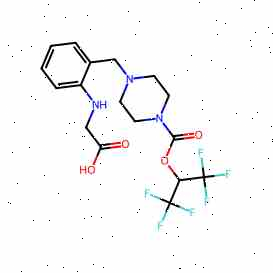 O=C(O)CNc1ccccc1CN1CCN(C(=O)OC(C(F)(F)F)C(F)(F)F)CC1